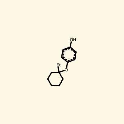 CCC1(Oc2ccc(O)cc2)CCCCC1